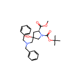 COC(=O)[C@@H]1CC(O)(CN(Cc2ccccc2)Cc2ccccc2)CN1C(=O)OC(C)(C)C